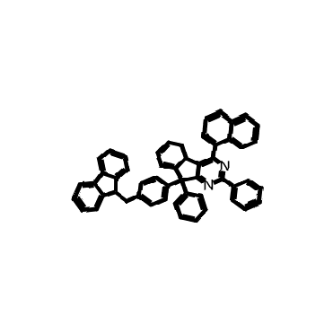 C1=CCC2C(=C1)C(c1ccccc1)(c1ccc(CC3c4ccccc4-c4ccccc43)cc1)c1nc(-c3ccccc3)nc(-c3cccc4ccccc34)c12